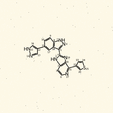 c1cc2[nH]c(-c3n[nH]c4ccc(-c5cn[nH]c5)cc34)nc2c(-c2ccsc2)n1